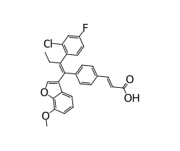 CC/C(=C(/c1ccc(C=CC(=O)O)cc1)c1coc2c(OC)cccc12)c1ccc(F)cc1Cl